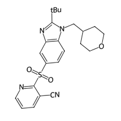 CC(C)(C)c1nc2cc(S(=O)(=O)c3ncccc3C#N)ccc2n1CC1CCOCC1